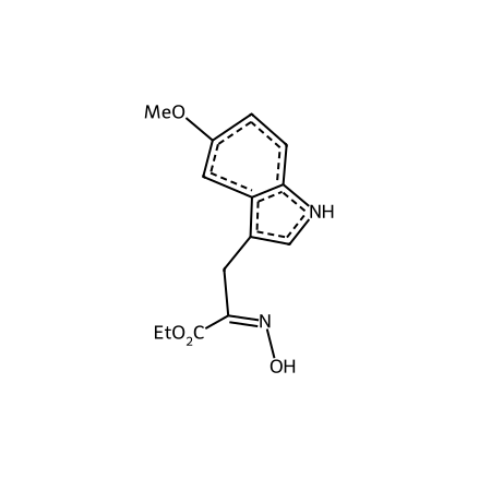 CCOC(=O)C(Cc1c[nH]c2ccc(OC)cc12)=NO